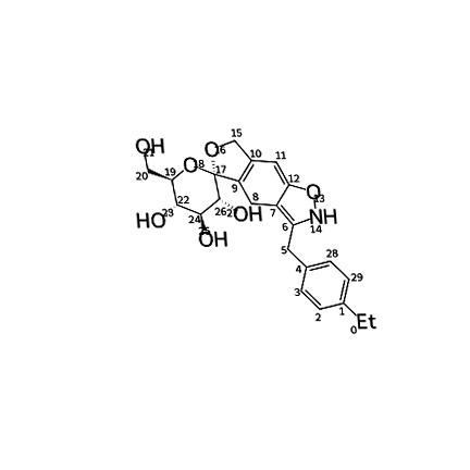 CCc1ccc(CC2=C3CC4=C(C=C3ON2)CO[C@]42O[C@H](CO)[C@@H](O)[C@H](O)[C@H]2O)cc1